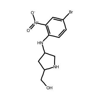 O=[N+]([O-])c1cc(Br)ccc1NC1CNC(CO)C1